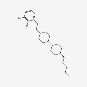 CCCCC[C@H]1CC[C@H](C2CCC(CCc3cccc(F)c3F)CC2)CC1